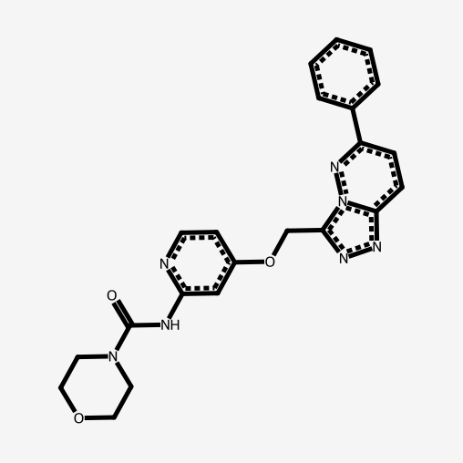 O=C(Nc1cc(OCc2nnc3ccc(-c4ccccc4)nn23)ccn1)N1CCOCC1